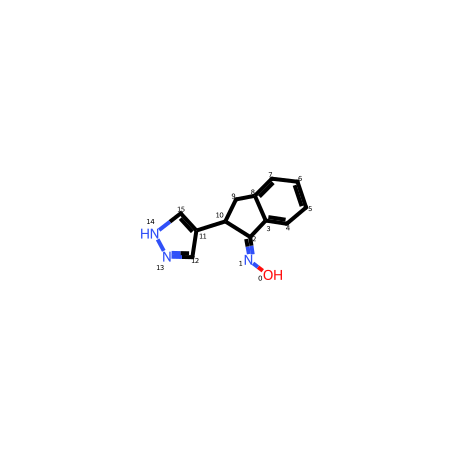 ON=C1c2ccccc2CC1c1cn[nH]c1